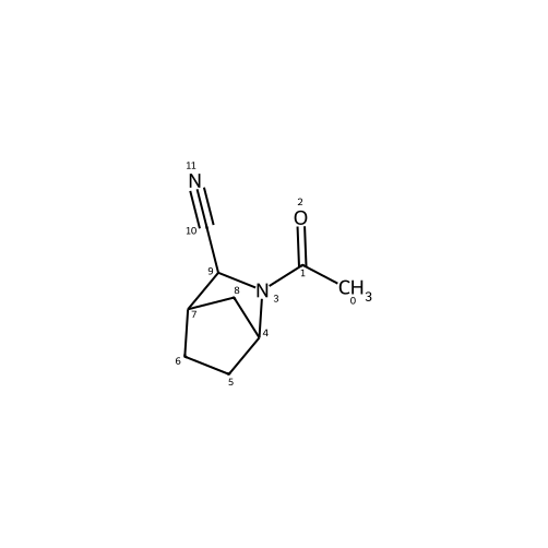 CC(=O)N1C2CCC(C2)C1C#N